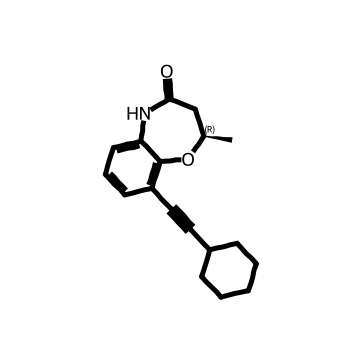 C[C@@H]1CC(=O)Nc2cccc(C#CC3CCCCC3)c2O1